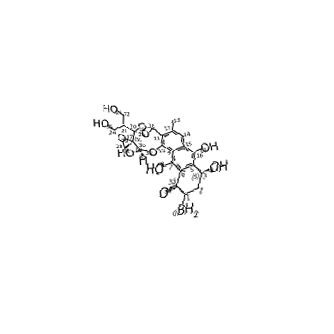 BC1C[C@H](O)c2c(c(O)c3c4c(c(C)cc3c2O)C2OC(C(CO)CO)(O2)[C@]2(CO2)[C@@H](O)O4)C1=O